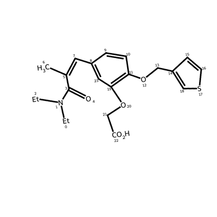 CCN(CC)C(=O)/C(C)=C\c1ccc(OCc2ccsc2)c(OCC(=O)O)c1